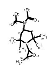 CCC(=O)N(C(=O)CC)C1CC(C)(C)N(C2OC2C)C(C)(C)C1